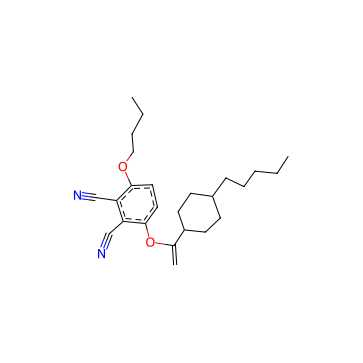 C=C(Oc1ccc(OCCCC)c(C#N)c1C#N)C1CCC(CCCCC)CC1